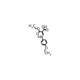 CCOC(=O)C(=CNc1ccc(OCC)cc1)C(=O)O